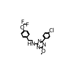 COc1nc(NCCc2ccc(OC(F)F)cc2)nc(-c2ccc(Cl)cc2)n1